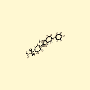 CC(C)S(=O)(=O)N1CCN(c2nc3cc(-c4ccccc4)ccc3[nH]2)CC1